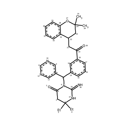 CCC1(CC)CC(=O)N(C(c2cncnc2)c2cccc(C(=O)CC3CC(C)(C)Oc4ccccc43)c2)C(=N)N1